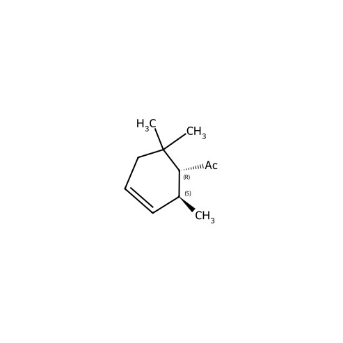 CC(=O)[C@@H]1[C@@H](C)C=CCC1(C)C